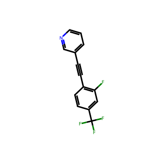 Fc1cc(C(F)(F)F)ccc1C#Cc1cccnc1